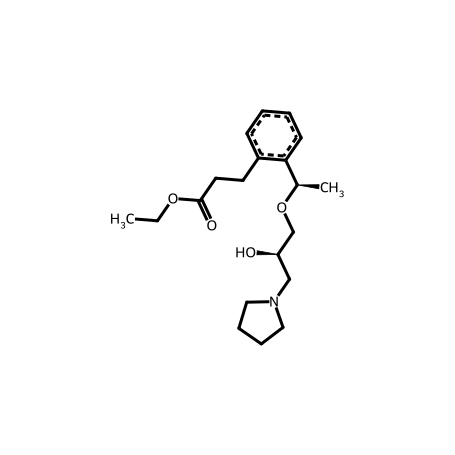 CCOC(=O)CCc1ccccc1[C@@H](C)OC[C@H](O)CN1CCCC1